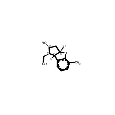 Cc1cccc2c1O[C@H]1C[C@@H](O)[C@H](CO)[C@@H]21